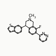 CN1Cc2c(ccc(-c3cccnn3)c2F)C(c2ccc3ccsc3c2)C1